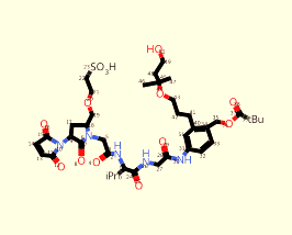 CC(C)C(NC(=O)CN1C(=O)C(N2C(=O)C=CC2=O)CC1COCCS(=O)(=O)O)C(=O)NCC(=O)Nc1ccc(COC(=O)C(C)(C)C)c(CCCOC(C)(C)CCO)c1